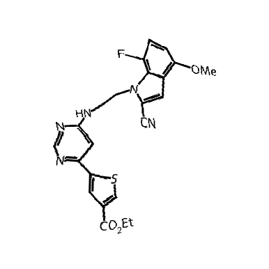 CCOC(=O)c1csc(-c2cc(NCCn3c(C#N)cc4c(OC)ccc(F)c43)ncn2)c1